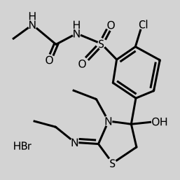 Br.CCN=C1SCC(O)(c2ccc(Cl)c(S(=O)(=O)NC(=O)NC)c2)N1CC